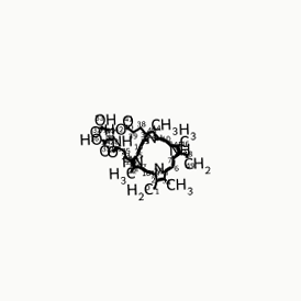 C=CC1=C(C)c2cc3[nH]c(cc4nc(cc5[nH]c(cc1n2)c(C)c5CCC(=O)N[C@@H](CC(=O)O)C(=O)O)C(CCC(=O)O)C4C)c(C)c3C=C